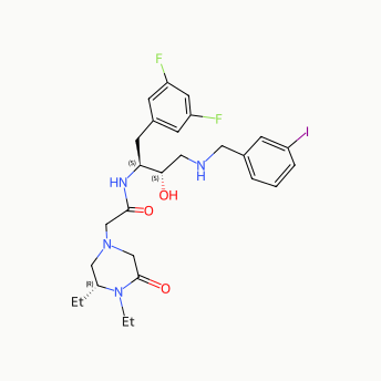 CC[C@@H]1CN(CC(=O)N[C@@H](Cc2cc(F)cc(F)c2)[C@@H](O)CNCc2cccc(I)c2)CC(=O)N1CC